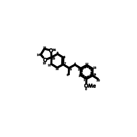 COc1cc(CC(C)C2=CCC3(CC2)OCCO3)ccc1C